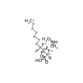 CCCCCCCC(F)(F)C(F)(F)C(F)(F)S(=O)(=O)O.CNC